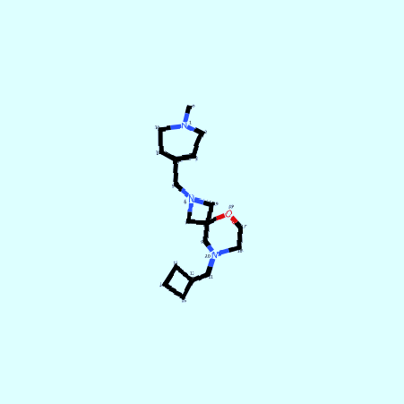 CN1CCC(CN2CC3(CN(CC4CCC4)CCO3)C2)CC1